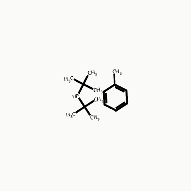 CC(C)(C)PC(C)(C)C.Cc1ccccc1